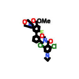 COC(=O)c1cc(F)c(-c2cccc3c2OCN(C(=O)c2c(Cl)cc(N4CCC4)cc2Cl)C3)cc1N1C2CCC1COC2